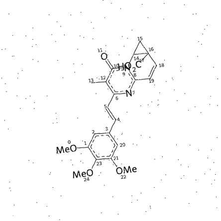 COc1cc(/C=C/c2nc3n(c(=O)c2C)C2CC2(C(=O)O)C=C3)cc(OC)c1OC